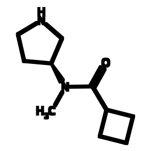 CN(C(=O)C1CCC1)[C@H]1CCNC1